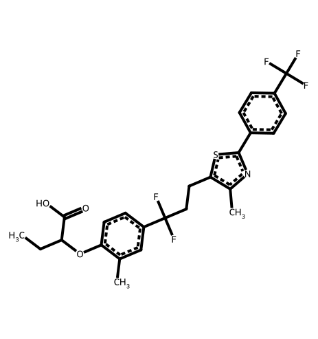 CCC(Oc1ccc(C(F)(F)CCc2sc(-c3ccc(C(F)(F)F)cc3)nc2C)cc1C)C(=O)O